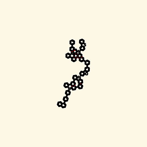 c1ccc(-c2ccc(N(c3ccc(-c4ccc(-c5cccc6ccccc56)cc4)cc3)c3ccccc3-c3cccc(-c4cccc5c4c4ccccc4n5-c4ccc5c(c4)oc4ccc(-c6cccc(-c7ccc(-c8ccc(N(c9ccc(-c%10ccccc%10)cc9)c9ccccc9-c9cccc(-c%10cccc%11c%10c%10ccccc%10n%11-c%10ccc%11sc%12ccccc%12c%11c%10)c9)cc8)cc7)c6)cc45)c3)cc2)cc1